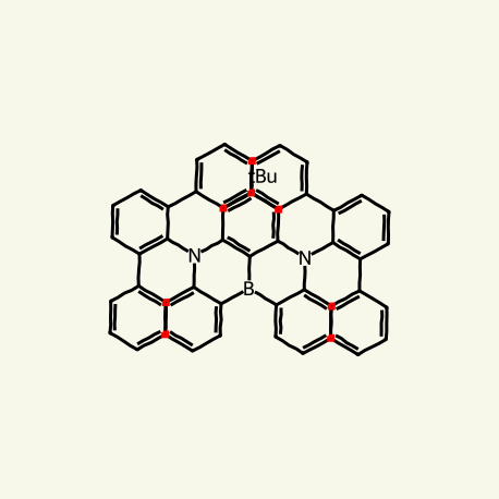 CC(C)(C)c1cc2c3c(c1)N(c1c(-c4ccccc4)cccc1-c1ccccc1)c1ccccc1B3c1ccccc1N2c1c(-c2ccccc2)cccc1-c1ccccc1